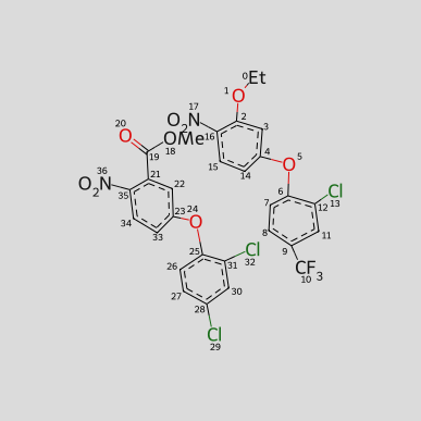 CCOc1cc(Oc2ccc(C(F)(F)F)cc2Cl)ccc1[N+](=O)[O-].COC(=O)c1cc(Oc2ccc(Cl)cc2Cl)ccc1[N+](=O)[O-]